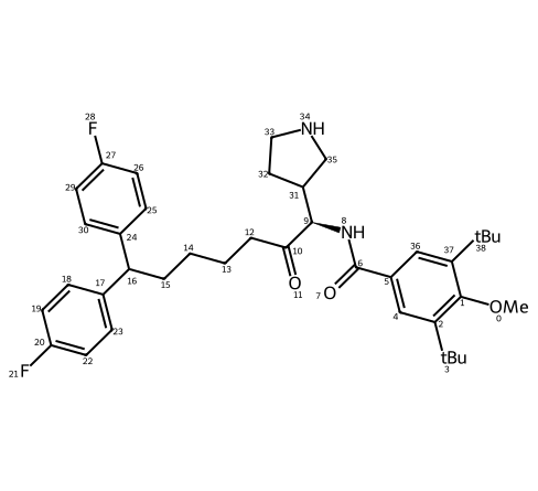 COc1c(C(C)(C)C)cc(C(=O)N[C@@H](C(=O)CCCCC(c2ccc(F)cc2)c2ccc(F)cc2)C2CCNC2)cc1C(C)(C)C